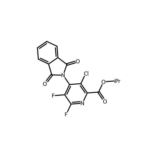 CC(C)OC(=O)c1nc(F)c(F)c(N2C(=O)c3ccccc3C2=O)c1Cl